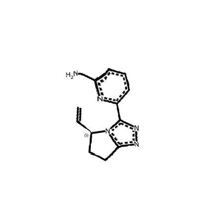 C=C[C@@H]1CCc2nnc(-c3cccc(N)n3)n21